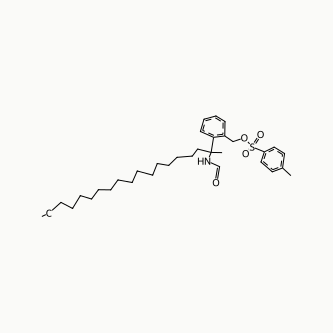 CCCCCCCCCCCCCCCCCC(C)(NC=O)c1ccccc1COS(=O)(=O)c1ccc(C)cc1